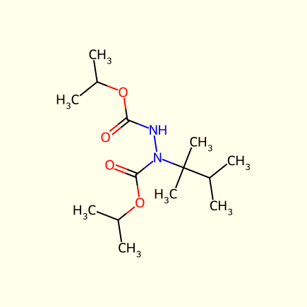 CC(C)OC(=O)NN(C(=O)OC(C)C)C(C)(C)C(C)C